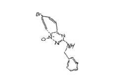 [O-][n+]1nc(NCc2ccccc2)nc2ccc(Br)cc21